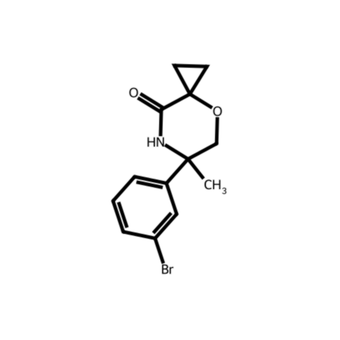 CC1(c2cccc(Br)c2)COC2(CC2)C(=O)N1